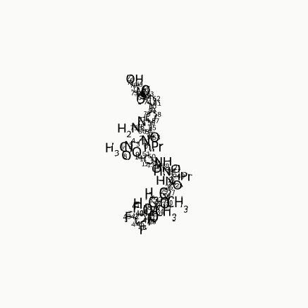 CCCN(CCCN(C)C(=O)OCc1ccc(NC(=O)CNC(=O)C(NC(=O)CCC(C)(C)OCC(C)(C)C(=O)Oc2c(F)c(F)cc(F)c2F)C(C)C)cc1)C(=O)C1=Cc2ccc(-c3cccc(S(=O)(=O)N4CC(CO)C4)c3)cc2N=C(N)C1